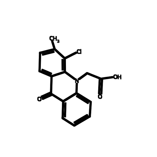 Cc1ccc2c(=O)c3ccccc3n(CC(=O)O)c2c1Cl